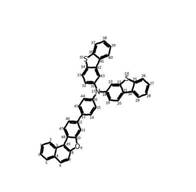 c1ccc2c(c1)ccc1oc3cc(-c4ccc(N(c5ccc6c(c5)sc5ccccc56)c5ccc6sc7ccccc7c6c5)cc4)ccc3c12